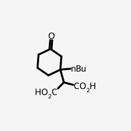 CCCCC1(C(C(=O)O)C(=O)O)CCCC(=O)C1